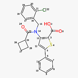 O=C(O)c1sc(-c2ccccc2)cc1N(Cc1ccccc1Cl)C(=O)C1CCC1